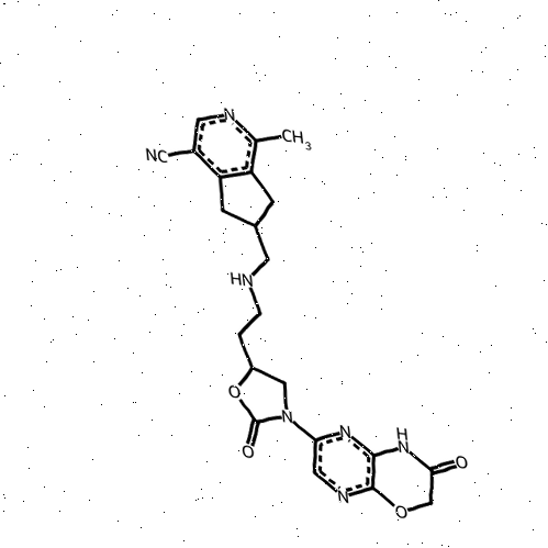 Cc1ncc(C#N)c2c1CC(CNCCC1CN(c3cnc4c(n3)NC(=O)CO4)C(=O)O1)C2